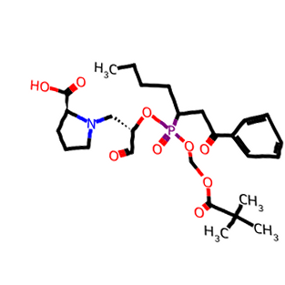 CCCCC(CC(=O)c1ccccc1)P(=O)(OCOC(=O)C(C)(C)C)O[C@H](C=O)CN1CCC[C@H]1C(=O)O